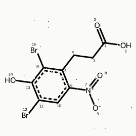 O=C(O)CCc1c([N+](=O)[O-])cc(Br)c(O)c1Br